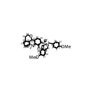 COc1ccc(CN(Cc2ccc(OC)cc2)S(=O)(=O)c2ccc(C3OCCc4ccccc43)c([N+](=O)[O-])c2OC)cc1